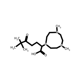 CN1CCN(C)CCN(C(CCC(=O)C(C)(C)C)C(=O)O)CC1